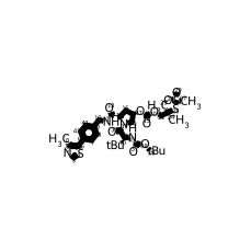 Cc1ncsc1-c1ccc(CNC(=O)[C@@H]2C[C@@H](OC(=O)OCC(C)(C)SS(C)(=O)=O)CN2C(=O)[C@@H](NC(=O)OC(C)(C)C)C(C)(C)C)cc1